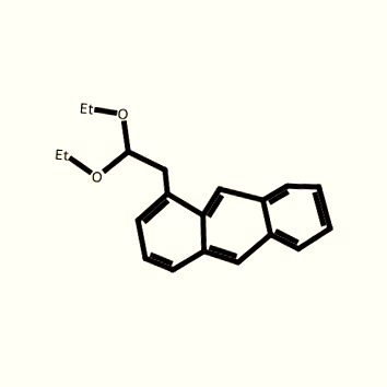 CCOC(Cc1cccc2cc3ccccc3cc12)OCC